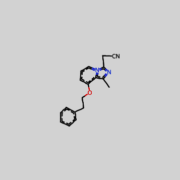 Cc1nc(CC#N)n2cccc(OCCc3ccccc3)c12